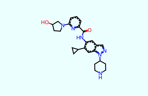 O=C(Nc1cc2cnn(C3CCNCC3)c2cc1C1CC1)c1cccc(N2CCC(O)C2)n1